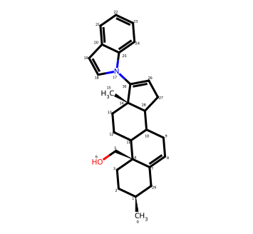 C[C@H]1CC[C@@]2(CO)C(=CCC3C2CC[C@]2(C)C(n4ccc5ccccc54)=CCC32)C1